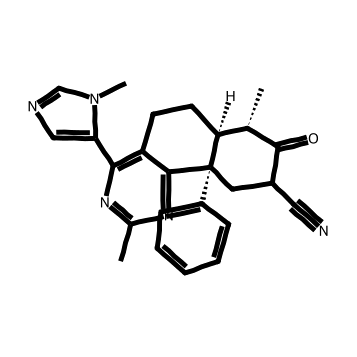 Cc1nc(-c2cncn2C)c2c(n1)[C@]1(c3ccccc3)CC(C#N)C(=O)[C@@H](C)[C@@H]1CC2